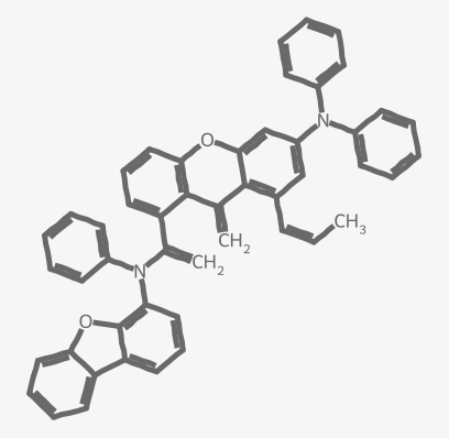 C=C1c2c(/C=C\C)cc(N(c3ccccc3)c3ccccc3)cc2Oc2cccc(C(=C)N(c3ccccc3)c3cccc4c3oc3ccccc34)c21